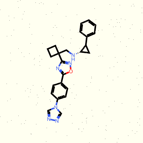 c1ccc(C2C[C@@H]2NCC2(c3noc(-c4ccc(-n5cnnc5)cc4)n3)CCC2)cc1